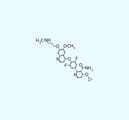 CNCCCOc1cc2nccc(Oc3c(F)cc(-c4nccc(OC5CC5)c4C(N)=O)cc3F)c2cc1OC